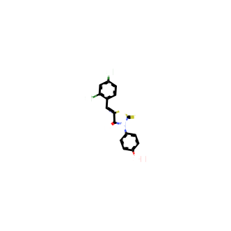 O=C1/C(=C/c2ccc(Cl)cc2Cl)SC(=S)N1c1ccc(O)cc1